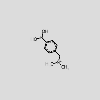 C[N+](C)Cc1ccc(B(O)O)cc1